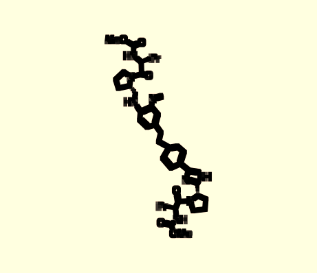 C=Nc1cc(CCc2ccc(-c3c[nH]c([C@@H]4CCCN4C(=O)[C@@H](NC(=O)OC)C(C)C)n3)cc2)ccc1NC[C@@H]1CCCN1C(=O)[C@@H](NC(=O)OC)C(C)C